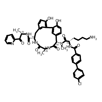 C[C@@H]1NC(=O)[C@@H](N(C)C(=O)[C@H](CCCCN)NC(=O)c2ccc(-c3ccc(Cl)cc3)cc2)c2ccc(O)c(c2)-c2cc(ccc2O)C[C@@H](C(=O)N[C@@H](C)C(=O)c2ccccn2)NC1=O